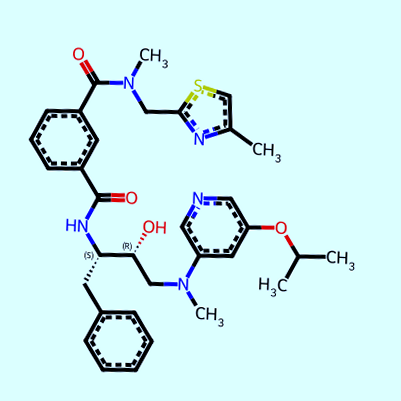 Cc1csc(CN(C)C(=O)c2cccc(C(=O)N[C@@H](Cc3ccccc3)[C@H](O)CN(C)c3cncc(OC(C)C)c3)c2)n1